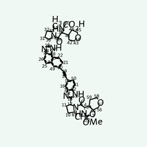 COC(=O)N[C@H](C(=O)N1[C@@H](C)CC[C@H]1c1nc2cc(C#Cc3ccc4c(ccc5nc([C@@H]6CC[C@H](C)N6C(=O)[C@@H](NC(=O)O)C6CCOCC6)[nH]c54)c3)ccc2[nH]1)C1CCOCC1